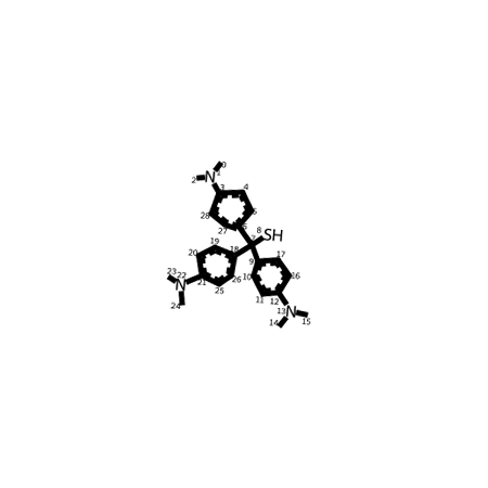 CN(C)c1ccc(C(S)(c2ccc(N(C)C)cc2)c2ccc(N(C)C)cc2)cc1